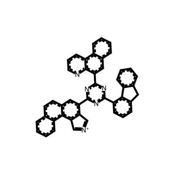 C1=[N+]=Cc2c1c(-c1nc(-c3cccc4c3-c3ccccc3C4)nc(-c3cc4ccccc4c4cccnc34)n1)cc1ccc3ccccc3c21